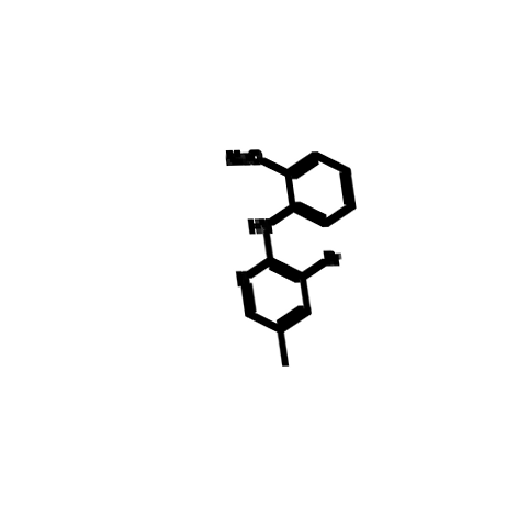 COc1ccccc1Nc1ncc(C)cc1Br